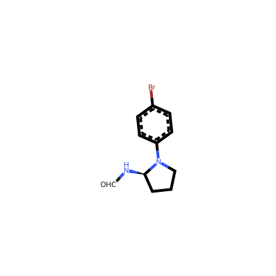 O=CN[C@@H]1CCCN1c1ccc(Br)cc1